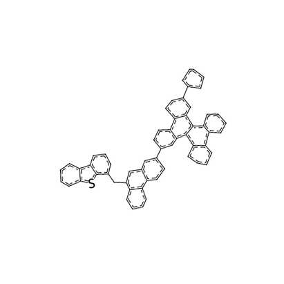 c1ccc(-c2ccc3c4ccc(-c5ccc6c(c5)cc(Cc5cccc7c5sc5ccccc57)c5ccccc56)cc4c4c5ccccc5c5ccccc5c4c3c2)cc1